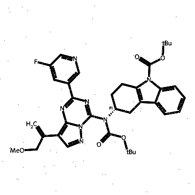 C=C(COC)c1cnn2c(N(C(=O)OC(C)(C)C)[C@@H]3CCc4c(c5ccccc5n4C(=O)OC(C)(C)C)C3)nc(-c3cncc(F)c3)nc12